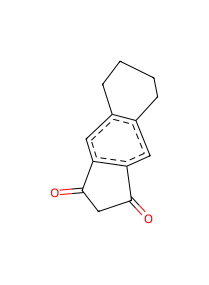 O=C1CC(=O)c2cc3c(cc21)CCCC3